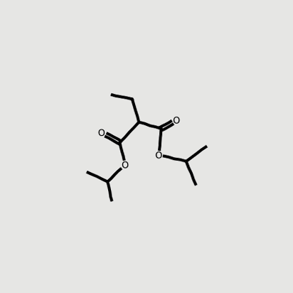 CCC(C(=O)OC(C)C)C(=O)OC(C)C